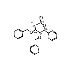 CC[C@H]1O[C@@H](c2ccccc2)[C@H](OCc2ccccc2)[C@@H](OCc2ccccc2)[C@@H]1C